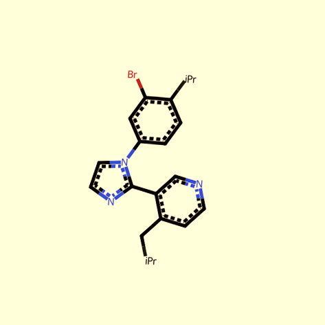 CC(C)Cc1ccncc1-c1nccn1-c1ccc(C(C)C)c(Br)c1